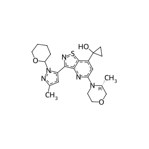 Cc1cc(-c2nsc3c(C4(O)CC4)cc(N4CCOC[C@H]4C)nc23)n(C2CCCCO2)n1